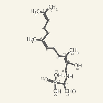 CC(C)=CCCC(C)=CCCC(C)=C(O)CNC(C=O)P(=O)(O)O